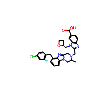 CC1Cn2c(nc3c(Cc4ccc(Cl)cc4F)cccc32)CN1Cc1nc2ccc(C(=O)O)cc2n1C[C@@H]1CCO1